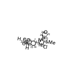 CSc1c(Cl)nc(-c2ccc(NS(C)(=O)=O)cc2)nc1N1CCOCC1